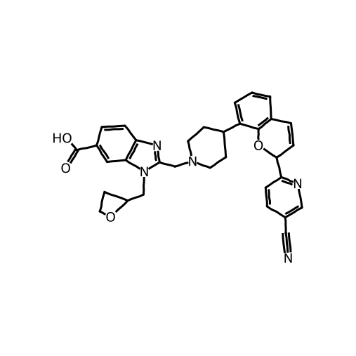 N#Cc1ccc(C2C=Cc3cccc(C4CCN(Cc5nc6ccc(C(=O)O)cc6n5CC5CCO5)CC4)c3O2)nc1